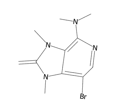 C=C1N(C)c2c(Br)cnc(N(C)C)c2N1C